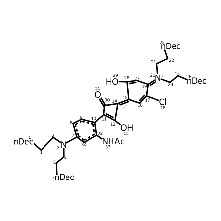 CCCCCCCCCCCCN(CCCCCCCCCCCC)c1ccc(C2=C(O)/C(=C3\C=C(Cl)C(=[N+](CCCCCCCCCCCC)CCCCCCCCCCCC)C=C3O)C2=O)c(NC(C)=O)c1